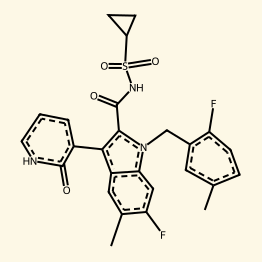 Cc1ccc(F)c(Cn2c(C(=O)NS(=O)(=O)C3CC3)c(-c3ccc[nH]c3=O)c3cc(C)c(F)cc32)c1